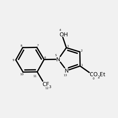 CCOC(=O)c1cc(O)n(-c2ccccc2C(F)(F)F)n1